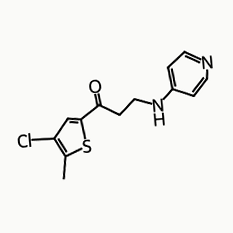 Cc1sc(C(=O)CCNc2ccncc2)cc1Cl